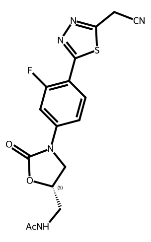 CC(=O)NC[C@H]1CN(c2ccc(-c3nnc(CC#N)s3)c(F)c2)C(=O)O1